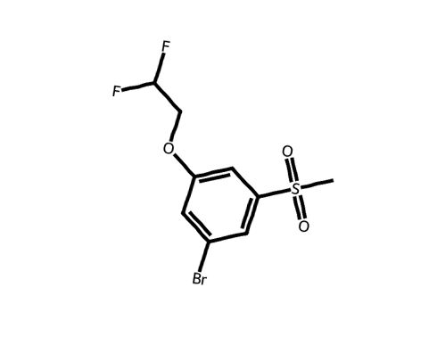 CS(=O)(=O)c1cc(Br)cc(OCC(F)F)c1